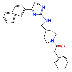 O=C(Cc1ccccc1)N1CCC(CNc2nccc(-c3ccc4ccccc4c3)n2)CC1